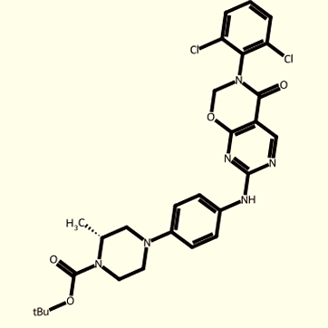 C[C@@H]1CN(c2ccc(Nc3ncc4c(n3)OCN(c3c(Cl)cccc3Cl)C4=O)cc2)CCN1C(=O)OC(C)(C)C